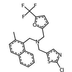 Cc1ccc2ccccc2c1CN(Cc1ccc(C(F)(F)F)o1)Cc1cnc(Cl)s1